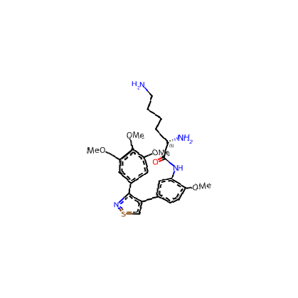 COc1ccc(-c2csnc2-c2cc(OC)c(OC)c(OC)c2)cc1NC(=O)[C@@H](N)CCCCN